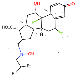 CCC(CC)CN(O)C[C@@H]1CC2[C@@H]3C[C@H](F)C4=CC(=O)C=C[C@]4(C)[C@@]3(F)[C@@H](O)C[C@]2(C)[C@H]1C(=O)O